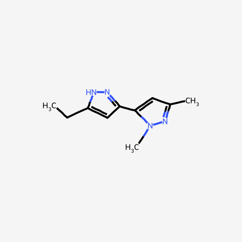 CCc1cc(-c2cc(C)nn2C)n[nH]1